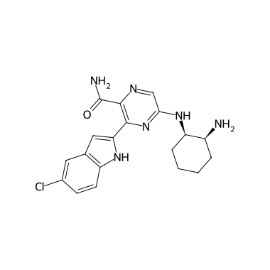 NC(=O)c1ncc(N[C@@H]2CCCC[C@@H]2N)nc1-c1cc2cc(Cl)ccc2[nH]1